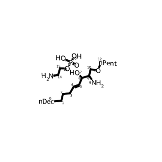 CCCCCCCCCCCCC/C=C/C(O)C(N)COCCCCC.NCCOP(=O)(O)O